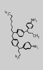 CCCCCCCC(Cc1ccc(C(CCC)c2ccc(N)cc2)cc1)c1ccc(C(CCC)c2ccc(N)cc2)cc1